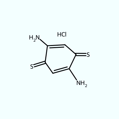 Cl.NC1=CC(=S)C(N)=CC1=S